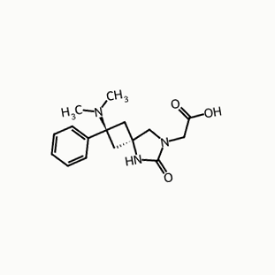 CN(C)[C@]1(c2ccccc2)C[C@@]2(CN(CC(=O)O)C(=O)N2)C1